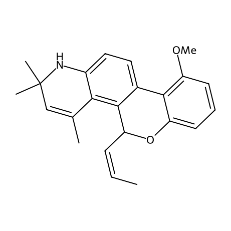 C/C=C\C1Oc2cccc(OC)c2-c2ccc3c(c21)C(C)=CC(C)(C)N3